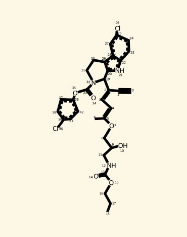 C#C/C(=C\C=C(/C)OCC(O)CNC(=O)OCCC)C1c2[nH]c3ccc(Cl)cc3c2CCN1C(=O)Oc1ccc(Cl)cc1